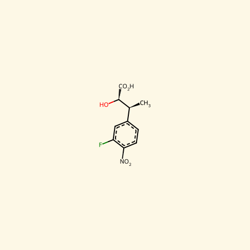 C[C@@H](c1ccc([N+](=O)[O-])c(F)c1)[C@@H](O)C(=O)O